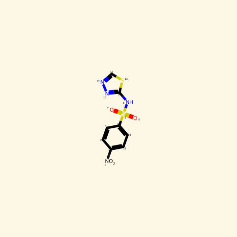 O=[N+]([O-])c1ccc(S(=O)(=O)Nc2nncs2)cc1